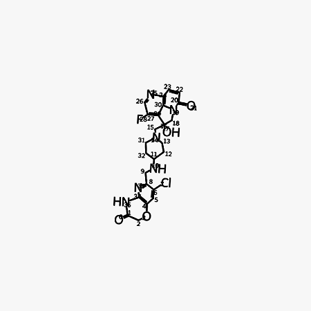 O=C1COc2cc(Cl)c(CNC3CCN(C[C@]4(O)Cn5c(=O)ccc6ncc(F)c4c65)CC3)nc2N1